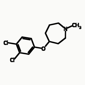 CN1CCCC(Oc2ccc(Cl)c(Cl)c2)CC1